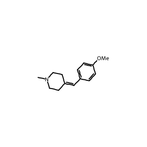 COc1ccc(C=C2CCN(C)CC2)cc1